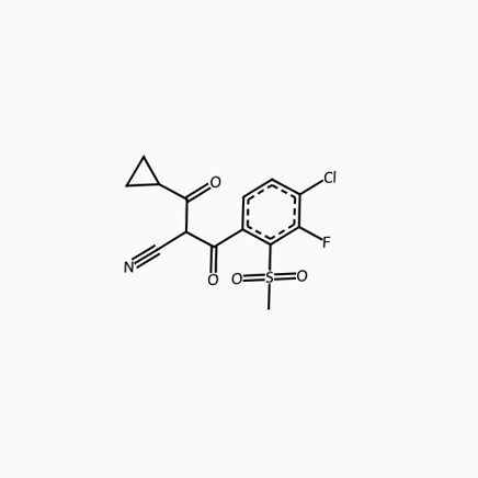 CS(=O)(=O)c1c(C(=O)C(C#N)C(=O)C2CC2)ccc(Cl)c1F